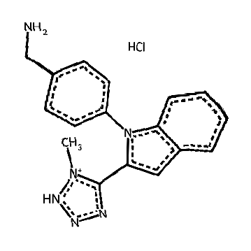 C[n+]1[nH]nnc1-c1cc2ccccc2n1-c1ccc(CN)cc1.Cl